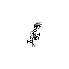 N#Cc1cc(F)cc(C(=O)N2CCOC[C@H]2CNC(=O)c2ccc(-c3noc(C(F)(F)F)n3)cc2)c1